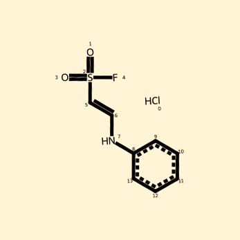 Cl.O=S(=O)(F)C=CNc1ccccc1